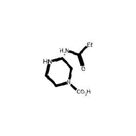 CCC(N)=O.O=C(O)N1CCNCC1